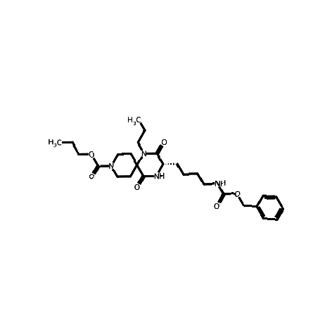 CCCOC(=O)N1CCC2(CC1)C(=O)N[C@@H](CCCCNC(=O)OCc1ccccc1)C(=O)N2CCC